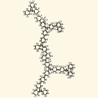 CC1(C)c2cc(-c3ccc4c5ccccc5n(-c5ccccc5)c4c3)ccc2-c2ccc(N(c3ccc(-c4ccc(-n5c6ccccc6c6cc(-c7cccc8c(-c9ccc(N(c%10ccc(-c%11ccc(-c%12ccc%13c%14ccccc%14n(-c%14ccccc%14)c%13c%12)cc%11)cc%10)c%10ccc(-c%11ccc(-n%12c%13ccccc%13c%13ccccc%13%12)cc%11)cc%10)cc9)cccc78)ccc65)cc4)cc3)c3ccc(-c4cccc5ccccc45)cc3)cc21